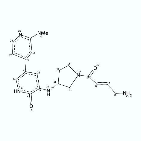 CNc1cc(-c2c[nH]c(=O)c(N[C@@H]3CCN(C(=O)C=CCN)C3)c2)ccn1